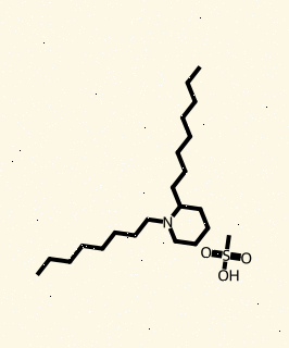 CCCCCCCCC1CCCCN1CCCCCCCC.CS(=O)(=O)O